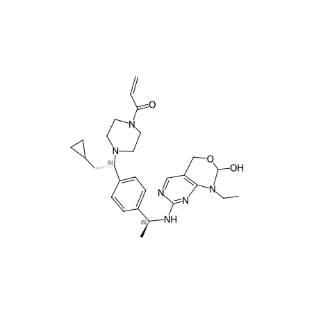 C=CC(=O)N1CCN([C@@H](CC2CC2)c2ccc([C@H](C)Nc3ncc4c(n3)N(CC)C(O)OC4)cc2)CC1